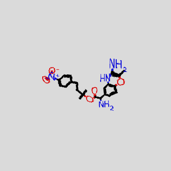 CC1=C(N)Nc2cc(C(N)C(=O)OC(C)(C)CCc3ccc([N+](=O)[O-])cc3)ccc2O1